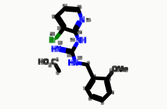 CC(=O)O.COc1ccccc1CNC(=N)Nc1ncccc1Br